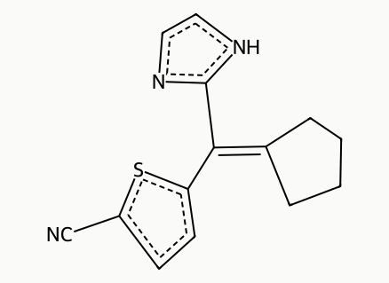 N#Cc1ccc(C(=C2CCCC2)c2ncc[nH]2)s1